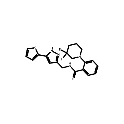 O=C(NCc1cc(-c2cccs2)[nH]n1)c1ccccc1N1CCCC(F)(F)C1